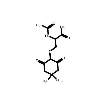 CC(=O)N[C@H](CSC1C(=O)CC(C)(C)CC1=O)C(C)=O